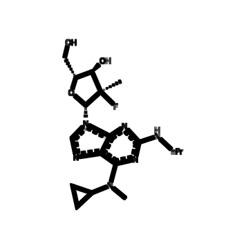 CCCNc1nc(N(C)C2CC2)c2ncn([C@@H]3O[C@H](CO)[C@@H](O)[C@@]3(C)F)c2n1